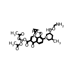 COc1c(N2CC(C)C[C@H](BOCN)C2)ccc2c(=O)c(C(=O)OB(OC(C)=O)OC(C)=O)cn(C3CC3)c12